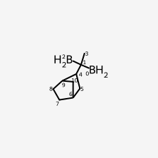 BC(B)(C)C1CC2CCC1C2